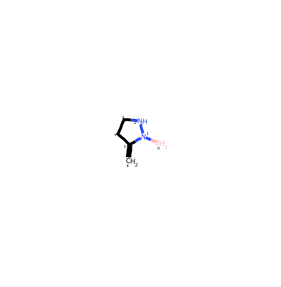 BN1NCCC1=C